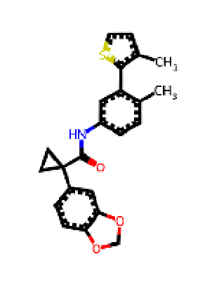 Cc1ccc(NC(=O)C2(c3ccc4c(c3)OCO4)CC2)cc1-c1sccc1C